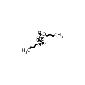 CCCCOS(=O)(=O)OS(=O)(=O)OCCCC